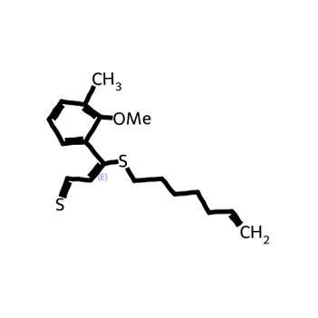 C=CCCCCCS/C(=C/C=S)c1cccc(C)c1OC